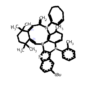 C=C1/C=C2\C(=C/B3C4=C(C(C)CC=C4N(c4ccccc4C)c4c3sc3ccc(C(C)(C)C)cc43)N1C1=CCCCC=C1)C(C)(C)CCC2(C)C